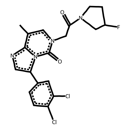 Cc1cn(CC(=O)N2CCC(F)C2)c(=O)n2c(-c3ccc(Cl)c(Cl)c3)cnc12